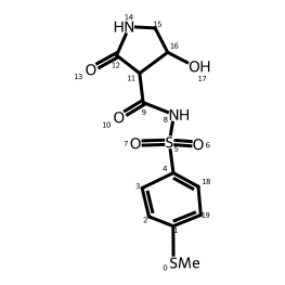 CSc1ccc(S(=O)(=O)NC(=O)C2C(=O)NCC2O)cc1